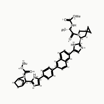 COC(=O)N[C@H](C(=O)N1CC2(CC2)C[C@H]1c1ncc(-c2ccc3cc(-c4ccc(-c5cnc(C6C7CCC(C7)N6C(=O)OC(C)(C)C)[nH]5)cc4)ccc3c2)[nH]1)C(C)C